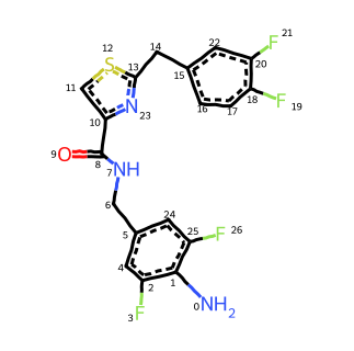 Nc1c(F)cc(CNC(=O)c2csc(Cc3ccc(F)c(F)c3)n2)cc1F